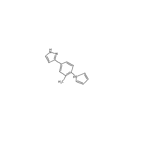 Cc1cc(-c2cc[nH]n2)ccc1[SH]1C=CC=C1